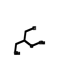 CC(C)(C)CC(CCl)OC(C)(C)C